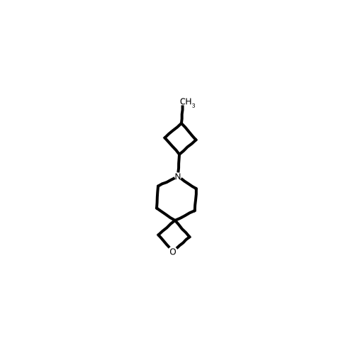 CC1CC(N2CCC3(CC2)COC3)C1